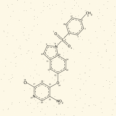 Cc1ccc(S(=O)(=O)n2ccc3cc(Oc4cc(Cl)ncc4[N+](=O)[O-])ccc32)cc1